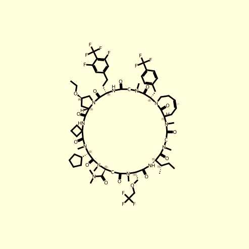 CCO[C@@H]1C[C@H]2C(=O)NC3(CCC3)C(=O)N(C)[C@@H](C3CCCC3)C(=O)N(C)[C@H](C(=O)N(C)C)CC(=O)N(C)[C@@H](COCC(F)(F)F)C(=O)N[C@@H]([C@@H](C)CC)C(=O)N(C)CC(=O)N(C)[C@H]3C/C=C\CCN(C3=O)[C@@H](Cc3ccc(C(F)(F)F)cc3)C(=O)N(C)CC(=O)N[C@@H](CCc3cc(F)c(C(F)(F)F)c(F)c3)C(=O)N2C1